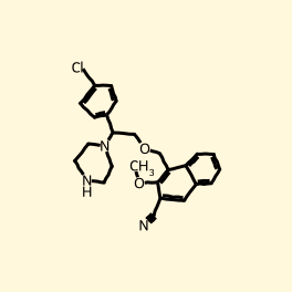 COc1c(C#N)cc2ccccc2c1COCC(c1ccc(Cl)cc1)N1CCNCC1